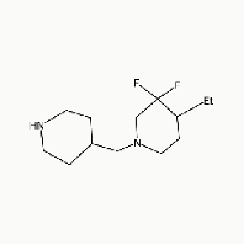 CCC1CCN(CC2CCNCC2)CC1(F)F